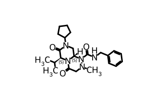 CC(C)[C@H]1C(=O)N(C2CCCC2)C[C@H]2N1C(=O)CN(C)N2C(=O)NCc1ccccc1